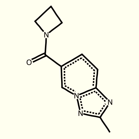 Cc1nc2ccc(C(=O)N3CCC3)cn2n1